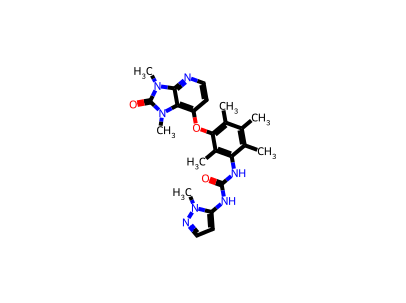 Cc1c(C)c(NC(=O)Nc2ccnn2C)c(C)c(Oc2ccnc3c2n(C)c(=O)n3C)c1C